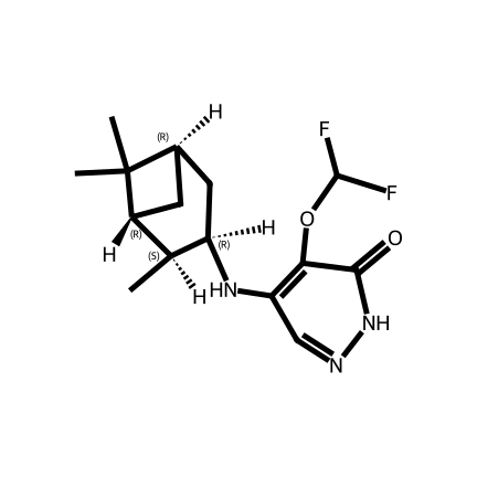 C[C@H]1[C@H]2C[C@H](C[C@H]1Nc1cn[nH]c(=O)c1OC(F)F)C2(C)C